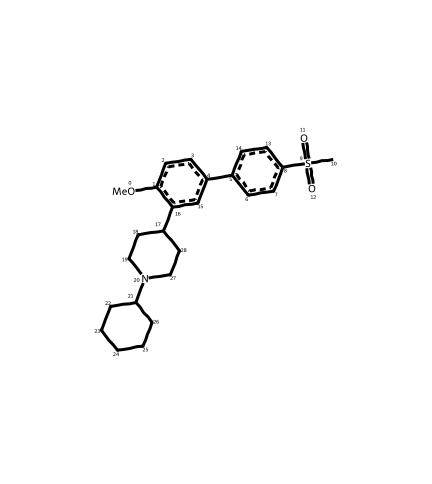 COc1ccc(-c2ccc(S(C)(=O)=O)cc2)cc1C1CCN(C2CCCCC2)CC1